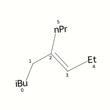 [CH2]CC(C)CC(=CCC)CCC